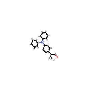 CC(C=O)c1ccc(N(c2ccccc2)c2ccccc2)cc1